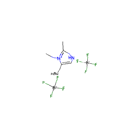 CCCCc1c[nH]c(C)[n+]1C.F[B-](F)(F)F.F[B-](F)(F)F